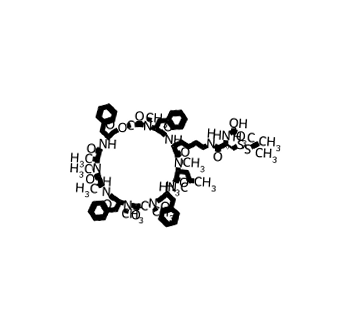 CC(C)CC1C(=O)NC(Cc2ccccc2)C(=O)N(C)CC(=O)N(C)C(Cc2ccccc2)C(=O)NC(C)C(=O)N(C)C(C)C(=O)NC(Cc2ccccc2)C(=O)OCC(=O)N(C)C(Cc2ccccc2)C(=O)NC(CCCCNC(=O)[C@H](CSSC(C)(C)C)NC(=O)O)C(=O)N1C